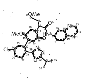 COCCC(C(=O)Nc1ccc2nccnc2c1)n1cc(OC)c(-c2cc(Cl)ccc2-c2nnc(C(F)F)o2)cc1=O